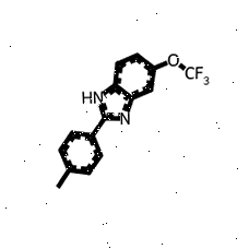 Cc1ccc(-c2nc3cc(OC(F)(F)F)ccc3[nH]2)cc1